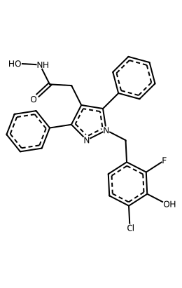 O=C(Cc1c(-c2ccccc2)nn(Cc2ccc(Cl)c(O)c2F)c1-c1ccccc1)NO